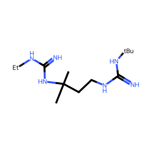 CCNC(=N)NC(C)(C)CCNC(=N)NC(C)(C)C